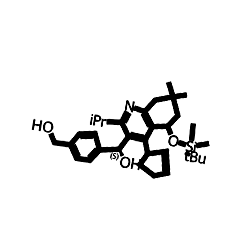 CC(C)c1nc2c(c(C3C=CCC3)c1[C@@H](O)c1ccc(CO)cc1)C(O[Si](C)(C)C(C)(C)C)CC(C)(C)C2